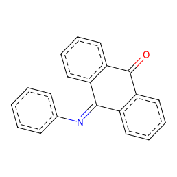 O=C1c2ccccc2C(=Nc2ccccc2)c2ccccc21